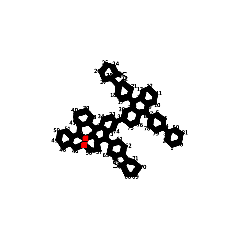 c1ccc(-c2ccc(-c3c4ccccc4c(-c4ccc5c(c4)sc4ccccc45)c4cc(-c5ccc6c(-c7ccccc7-c7cccc8ccccc78)c7ccccc7c(-c7ccc8c(c7)sc7ccccc78)c6c5)ccc34)cc2)cc1